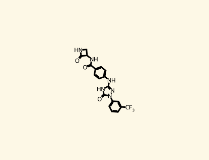 O=C(NC1CNC1=O)c1ccc(Nc2nn(-c3cccc(C(F)(F)F)c3)c(=O)[nH]2)cc1